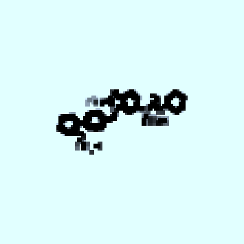 CCCCCCN(C(=O)NC1CCCCC1)c1ccc2nc(CCCC)n(Cc3ccc(-c4ccccc4OC(=O)O)cc3)c2c1